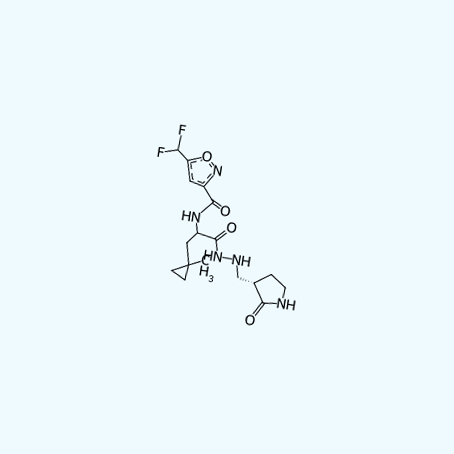 CC1(CC(NC(=O)c2cc(C(F)F)on2)C(=O)NNC[C@@H]2CCNC2=O)CC1